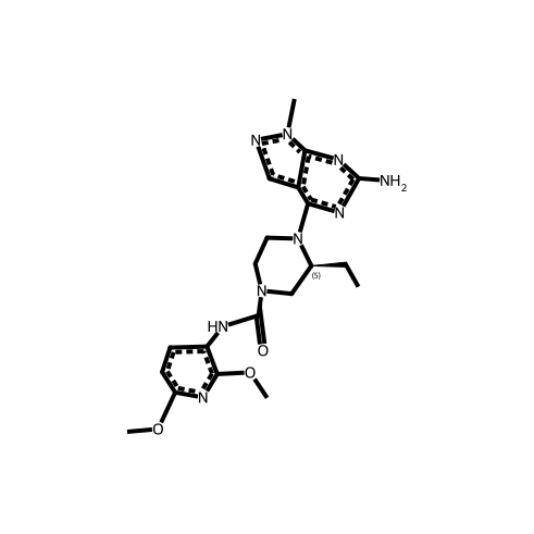 CC[C@H]1CN(C(=O)Nc2ccc(OC)nc2OC)CCN1c1nc(N)nc2c1cnn2C